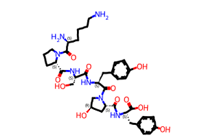 NCCCC[C@H](N)C(=O)N1CCC[C@H]1C(=O)N[C@@H](CO)C(=O)N[C@@H](Cc1ccc(O)cc1)C(=O)N1C[C@H](O)C[C@H]1C(=O)N[C@@H](Cc1ccc(O)cc1)C(=O)O